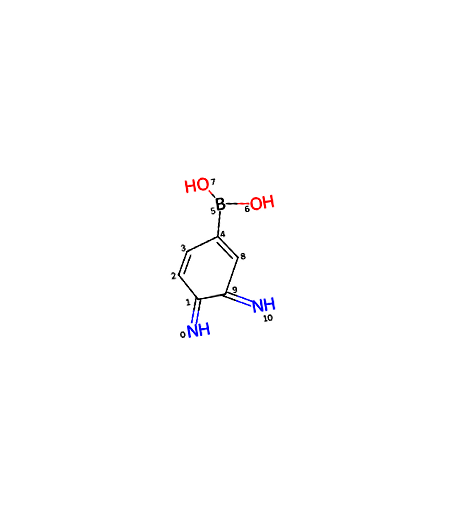 N=C1C=CC(B(O)O)=CC1=N